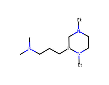 CCN1CC[N](CC)[In]([CH2]CCN(C)C)[CH2]1